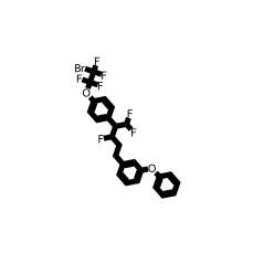 FC(F)C(c1ccc(OC(F)(F)C(F)(F)Br)cc1)C(F)CCc1cccc(Oc2ccccc2)c1